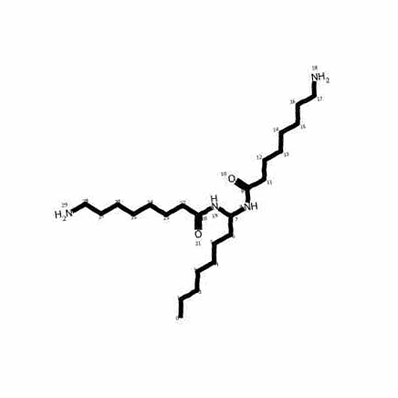 CCCCCCCC(NC(=O)CCCCCCCN)NC(=O)CCCCCCCN